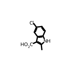 Cc1[nH]c2ccc(Cl)cc2c1C(=O)O